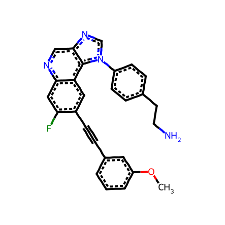 COc1cccc(C#Cc2cc3c(cc2F)ncc2ncn(-c4ccc(CCN)cc4)c23)c1